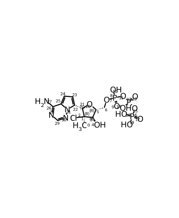 C[C@@]1(Cl)[C@H](O)[C@@H](COP(=O)(O)OP(=O)(O)OP(=O)(O)O)O[C@H]1c1ccc2c(N)ncnn12